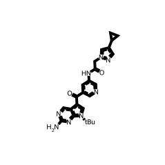 CC(C)(C)n1cc(C(=O)c2cncc(NC(=O)Cn3cc(C4CC4)cn3)c2)c2cnc(N)nc21